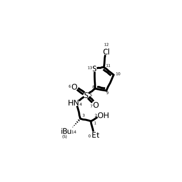 CCC(O)C(NS(=O)(=O)c1ccc(Cl)s1)[C@@H](C)CC